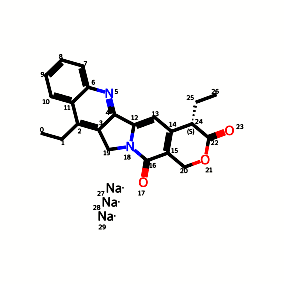 CCc1c2c(nc3ccccc13)-c1cc3c(c(=O)n1C2)COC(=O)[C@H]3CC.[Na].[Na].[Na]